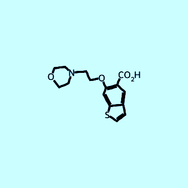 O=C(O)c1cc2ccsc2cc1OCCN1CCOCC1